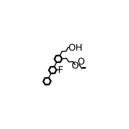 C=CC(=O)OCCCc1cc(-c2ccc(-c3ccccc3)cc2F)ccc1CCCO